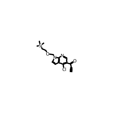 C#CC(=O)c1cnc2c(ccn2COCC[Si](C)(C)C)c1Cl